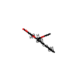 CCCCCCCCCCCCCC(=O)NCCCC[C@@H](NC(=O)CCCCCCCCCCCCC)C(=O)NCCCOCCOCCOCCCNC(=O)CCOCCC